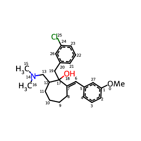 COc1cccc(C=C2CCCCC(CN(C)C)C2(O)Cc2cccc(Cl)c2)c1